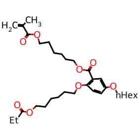 C=C(C)C(=O)OCCCCCCOC(=O)c1cc(OCCCCCC)ccc1OCCCCCCOC(=O)CC